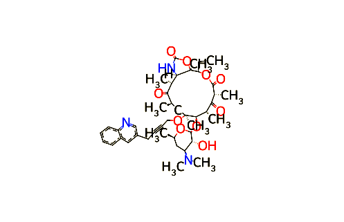 CC[C@H]1OC(=O)[C@H](C)C(=O)[C@H](C)[C@@H](O[C@@H]2O[C@H](C)C[C@H](N(C)C)[C@H]2O)[C@@](C)(OCC#CCc2cnc3ccccc3c2)C[C@@H](C)C(=O)[C@H](C)[C@H]2NC(=O)O[C@@]21C